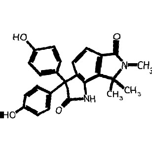 CN1C(=O)c2ccc3c(c2C1(C)C)NC(=O)C3(c1ccc(O)cc1)c1ccc(O)cc1